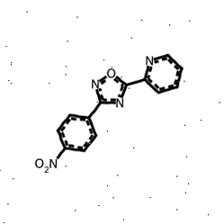 O=[N+]([O-])c1ccc(-c2noc(-c3ccccn3)n2)cc1